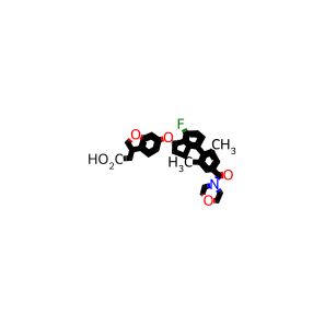 Cc1cc(C(=O)N2CCOCC2)cc(C)c1-c1ccc(F)c2c1CC[C@H]2Oc1ccc2c(c1)OCC2CC(=O)O